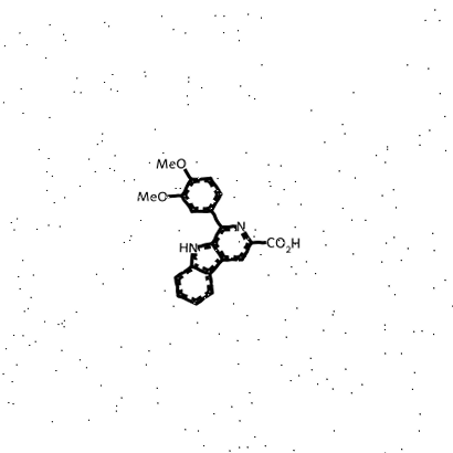 COc1ccc(-c2nc(C(=O)O)cc3c2[nH]c2ccccc23)cc1OC